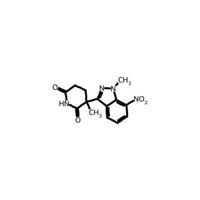 Cn1nc(C2(C)CCC(=O)NC2=O)c2cccc([N+](=O)[O-])c21